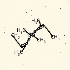 CCCCCCCCCCCCCCCCc1ccc(-c2sc(-c3ccc(/C=C/c4ccc(/C=C/c5cc(OCCCCCCCC)c(/C=C/c6ccc(/C=C/c7ccc(-c8cc(CCCCCC)c(-c9ccc(CCCCCCCCCCCCCCCC)s9)s8)cc7)cc6)cc5OCCCCCCCC)cc4)cc3)cc2CCCCCC)s1